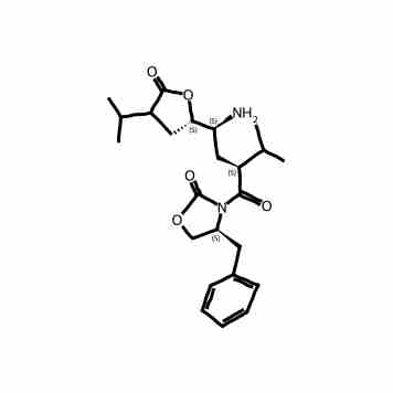 CC(C)C1C[C@@H]([C@@H](N)C[C@H](C(=O)N2C(=O)OC[C@@H]2Cc2ccccc2)C(C)C)OC1=O